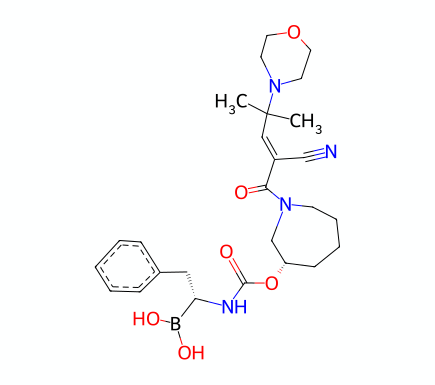 CC(C)(/C=C(\C#N)C(=O)N1CCCC[C@H](OC(=O)N[C@@H](Cc2ccccc2)B(O)O)C1)N1CCOCC1